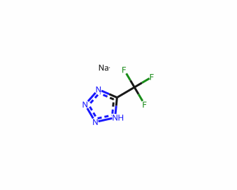 FC(F)(F)c1nnn[nH]1.[Na]